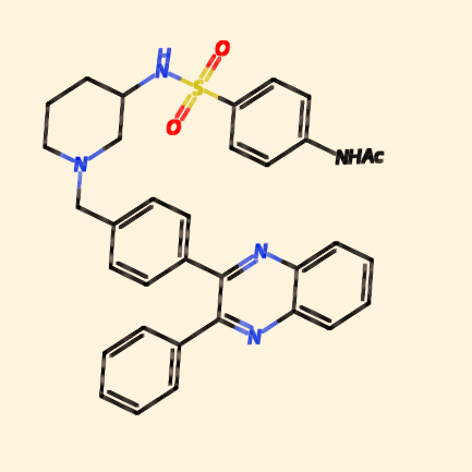 CC(=O)Nc1ccc(S(=O)(=O)NC2CCCN(Cc3ccc(-c4nc5ccccc5nc4-c4ccccc4)cc3)C2)cc1